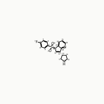 O=S(=O)(c1ccc(F)cc1)n1cc([C@@H]2CCNC2)c2ncccc21